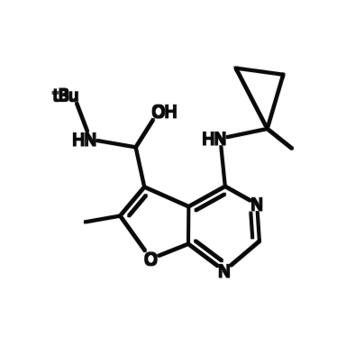 Cc1oc2ncnc(NC3(C)CC3)c2c1C(O)NC(C)(C)C